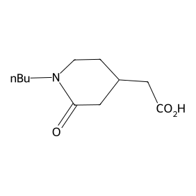 CCCCN1CCC(CC(=O)O)CC1=O